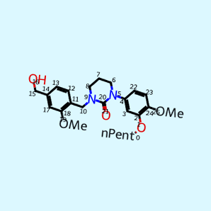 CCCCCOc1cc(N2CCCN(Cc3ccc(CO)cc3OC)C2=O)ccc1OC